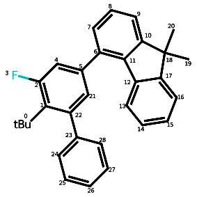 CC(C)(C)c1c(F)cc(-c2cccc3c2-c2ccccc2C3(C)C)cc1-c1ccccc1